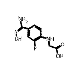 N/C(=N/O)c1ccc(NCC(=O)O)c(F)c1